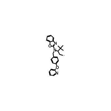 [CH2]CC(N(Cc1ccc(Oc2ccccn2)cc1)c1nc2ccccc2o1)C(C)(C)C